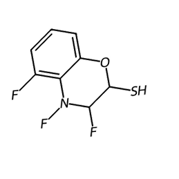 Fc1cccc2c1N(F)C(F)C(S)O2